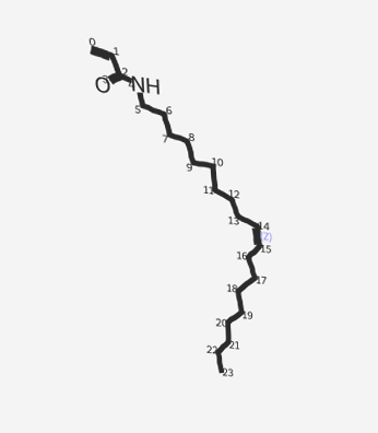 C=CC(=O)NCCCCCCCCC/C=C\CCCCCCCC